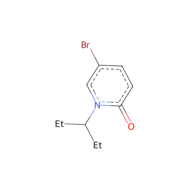 CCC(CC)n1cc(Br)ccc1=O